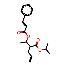 C=CCC(C(=O)OC(C)C)C(C)OC(=O)/C=C/c1ccccc1